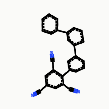 N#Cc1cc(C#N)c(-c2cccc(-c3cccc(-c4ccccc4)c3)c2)c(C#N)c1